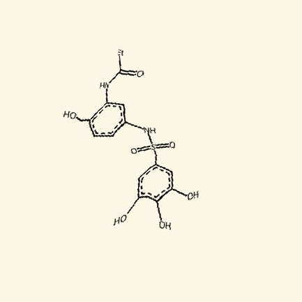 CCC(=O)Nc1cc(NS(=O)(=O)c2cc(O)c(O)c(O)c2)ccc1O